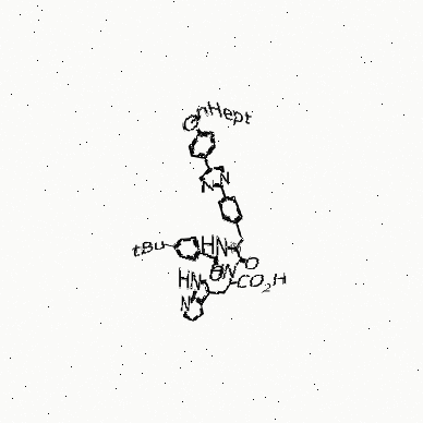 CCCCCCCOc1ccc(-c2cnc(-c3ccc(C[C@H](NC(=O)c4ccc(C(C)(C)C)cc4)C(=O)NC(Cc4c[nH]c5ncccc45)C(=O)O)cc3)nc2)cc1